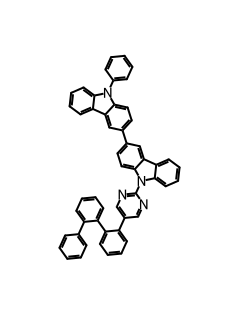 c1ccc(-c2ccccc2-c2ccccc2-c2cnc(-n3c4ccccc4c4cc(-c5ccc6c(c5)c5ccccc5n6-c5ccccc5)ccc43)nc2)cc1